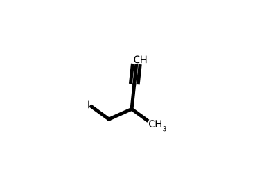 C#CC(C)CI